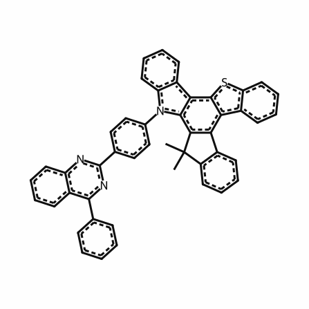 CC1(C)c2ccccc2-c2c1c1c(c3ccccc3n1-c1ccc(-c3nc(-c4ccccc4)c4ccccc4n3)cc1)c1sc3ccccc3c21